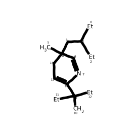 CCC(CC)CC1(C)C=NC(C(C)(CC)CC)=CC1